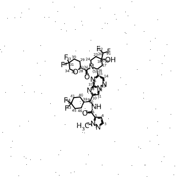 Cn1nccc1C(=O)N[C@H](c1cn2ncc([C@@H]3C[C@@](O)(C(F)F)CCN3C(=O)[C@@H]3CCC(F)(F)CO3)nc2n1)C1CCC(F)(F)CC1